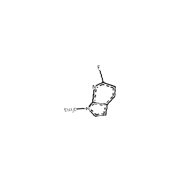 CCOC(=O)n1ccc2ccc(F)nc21